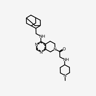 CN1CCC(NCC(=O)N2CCc3c(ncnc3NCC3C4CC5CC(C4)CC3C5)C2)CC1